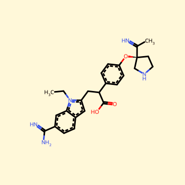 CCn1c(CC(C(=O)O)c2ccc(O[C@@]3(C(C)=N)CCNC3)cc2)cc2ccc(C(=N)N)cc21